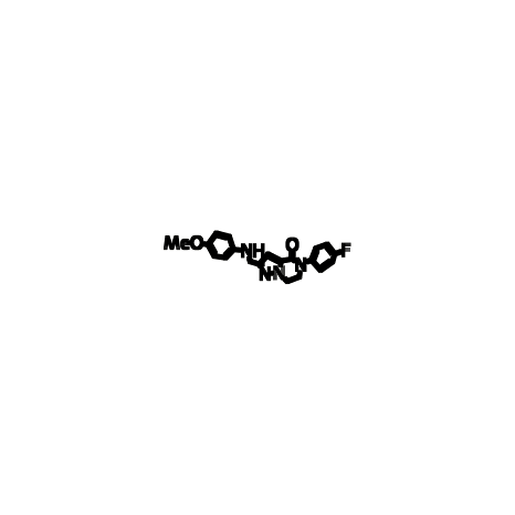 COc1ccc(NCc2cc3n(n2)CCN(c2ccc(F)cc2)C3=O)cc1